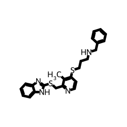 Cc1c(SCCCNCc2ccccc2)ccnc1CSc1nc2ccccc2[nH]1